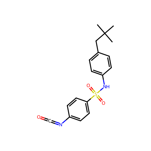 CC(C)(C)Cc1ccc(NS(=O)(=O)c2ccc(N=C=O)cc2)cc1